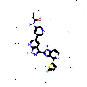 CCC(=O)Nc1cncc(-c2cnc3[nH]nc(-c4nc5c(-c6ccc(F)s6)nccc5[nH]4)c3c2)c1